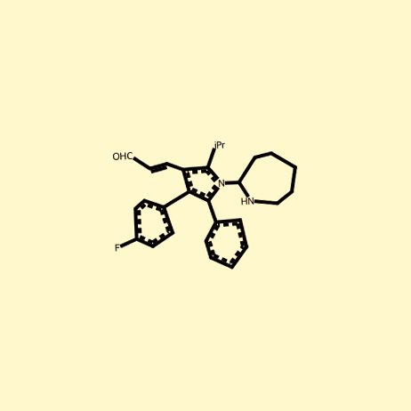 CC(C)c1c(C=CC=O)c(-c2ccc(F)cc2)c(-c2ccccc2)n1C1CCCCCN1